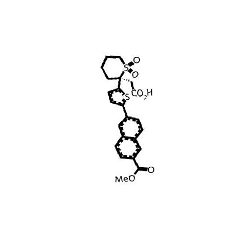 COC(=O)c1ccc2cc(-c3ccc([C@@]4(CC(=O)O)CCCCS4(=O)=O)s3)ccc2c1